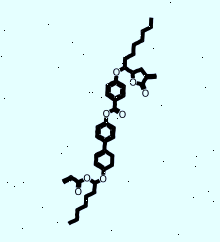 C=CC(=O)OC(CCCCCC)OC1=CC=C(c2ccc(OC(=O)c3ccc(OC(CCCCCCC)C4CC(=C)C(=O)O4)cc3)cc2)CC1